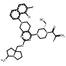 C=C(F)C(=O)N1CCN(c2nc(OCC34CCCN3C(C)CC4)nc3c2CCN(c2cccc4ccc(F)c(Cl)c24)C3)C[C@@H]1CC#N